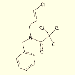 O=C(N(CC=CCl)Cc1ccccc1)C(Cl)(Cl)Cl